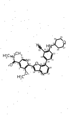 COc1cc(C(=O)N(C)C)cnc1-c1cc2nccc(-c3ccc(NC4CCOCC4)c(C#N)c3)c2o1